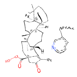 CC(=O)Nc1cccnc1.CC(C)C1=C2[C@H]3CC[C@@H]4[C@@]5(C)CCCC(C)(C)[C@@H]5CC[C@@]4(C)[C@]3(C)CC[C@@]2(C(=O)OO)CC1=O